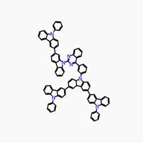 C1=CC2C(C=C1c1ccc3c(c1)c1ccccc1n3-c1ccccc1)c1cc(-c3ccc4c(c3)c3ccccc3n4-c3ccccc3)ccc1N2c1cccc(-c2nc(-n3c4ccccc4c4ccc(-c5ccc6c(c5)c5ccccc5n6-c5ccccc5)cc43)nc3ccccc23)c1